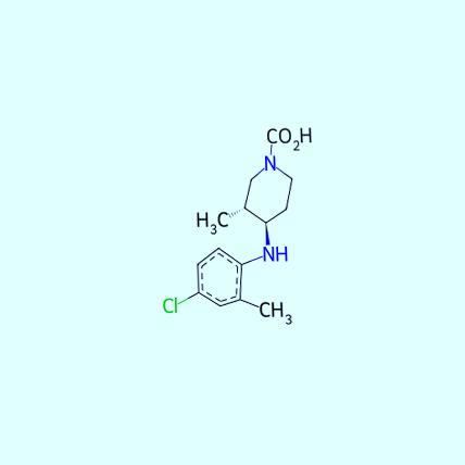 Cc1cc(Cl)ccc1N[C@@H]1CCN(C(=O)O)C[C@H]1C